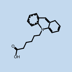 O=C(O)CCCCCN1C2=CC=CCC2=Cc2ccccc21